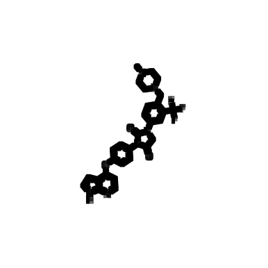 CN1CCN(Cc2ccc(N3CC(=O)N(c4ccc(Oc5ccnc6[nH]ccc56)cc4)C3=O)cc2C(F)(F)F)CC1